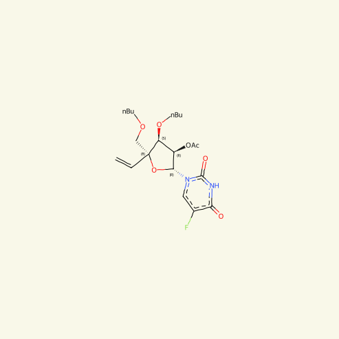 C=C[C@]1(COCCCC)O[C@@H](n2cc(F)c(=O)[nH]c2=O)[C@H](OC(C)=O)[C@@H]1OCCCC